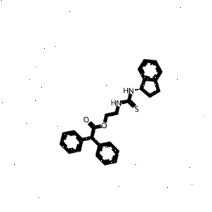 O=C(OCCNC(=S)N[C@H]1CCc2ccccc21)C(c1ccccc1)c1ccccc1